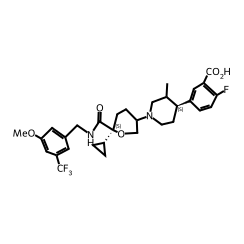 COc1cc(CNC(=O)[C@@]2(C3CC3)CCC(N3CC[C@H](c4ccc(F)c(C(=O)O)c4)C(C)C3)CO2)cc(C(F)(F)F)c1